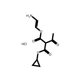 CC(=O)C(C(=O)OC=CN)C(=O)OC1CC1.Cl